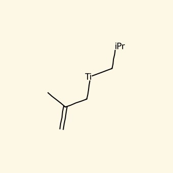 C=C(C)[CH2][Ti][CH2]C(C)C